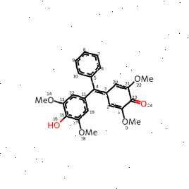 COC1=CC(=C(c2ccccc2)c2cc(OC)c(O)c(OC)c2)C=C(OC)C1=O